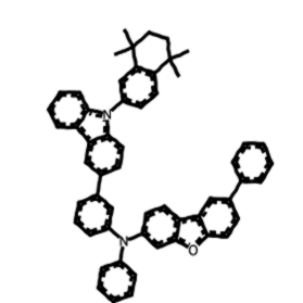 CC1(C)CCC(C)(C)c2cc(-n3c4ccccc4c4cc(-c5cccc(N(c6ccccc6)c6ccc7c(c6)oc6ccc(-c8ccccc8)cc67)c5)ccc43)ccc21